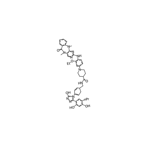 CCCc1cc(-c2nnc(O)n2C2=CCC(CNC(=O)C3CCN(c4ccc(Nc5ncc6c(n5)N(C)c5ccccc5C(=O)N6C)c(OCC)c4)CC3)C=C2)c(O)cc1O